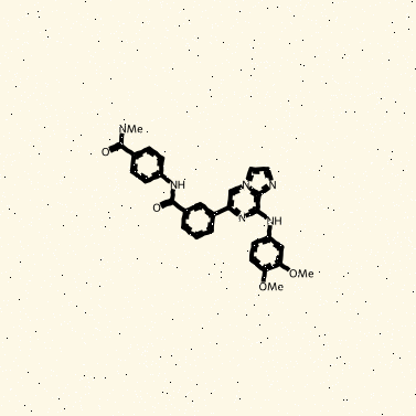 CNC(=O)c1ccc(NC(=O)c2cccc(-c3cn4ccnc4c(Nc4ccc(OC)c(OC)c4)n3)c2)cc1